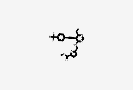 CCc1ncnc(NCc2ccc(C(=O)OC)o2)c1C#Cc1ccc(C(F)(F)F)cc1